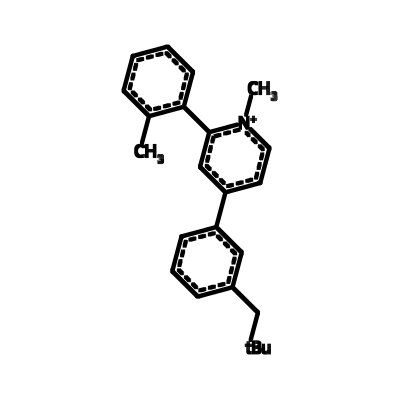 Cc1ccccc1-c1cc(-c2cccc(CC(C)(C)C)c2)cc[n+]1C